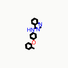 Cc1ccccc1Oc1ccc(Nc2ncnc3ccccc23)cc1